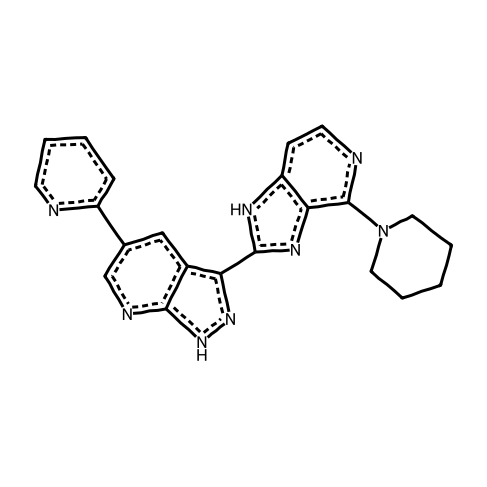 c1ccc(-c2cnc3[nH]nc(-c4nc5c(N6CCCCC6)nccc5[nH]4)c3c2)nc1